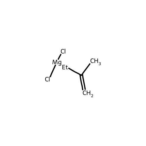 [CH2]CC(=C)C.[Cl][Mg][Cl]